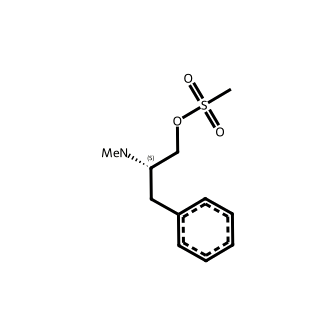 CN[C@H](COS(C)(=O)=O)Cc1ccccc1